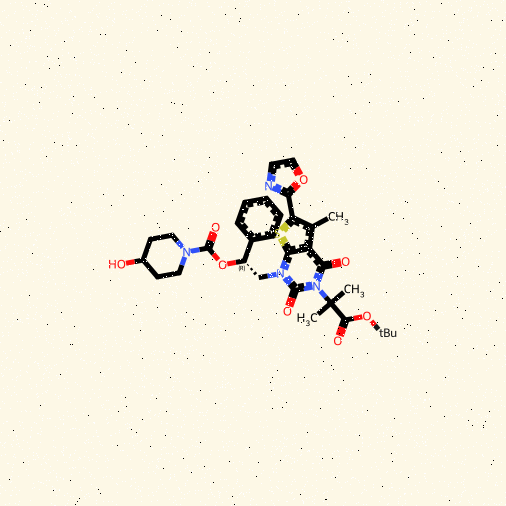 Cc1c(-c2ncco2)sc2c1c(=O)n(C(C)(C)C(=O)OC(C)(C)C)c(=O)n2C[C@H](OC(=O)N1CCC(O)CC1)c1ccccc1